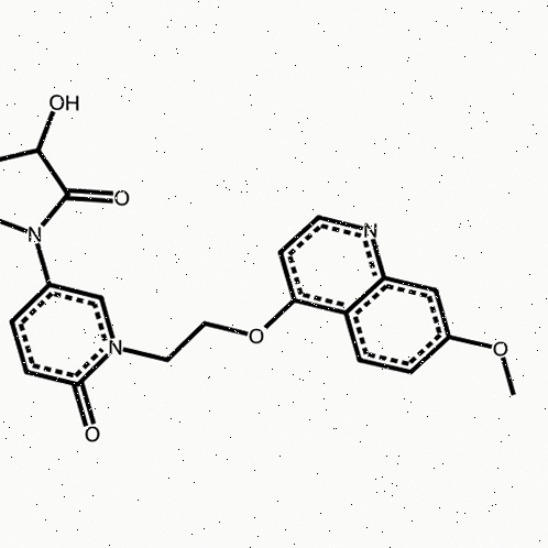 COc1ccc2c(OCCn3cc(N4CCC(O)C4=O)ccc3=O)ccnc2c1